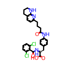 O=C(CCCc1ccc2c(n1)NCCC2)Nc1ccc(C[C@H](NC(=O)c2c(Cl)cccc2Cl)C(=O)O)cc1